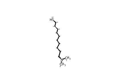 CN(C)CCCCCCCCCCS